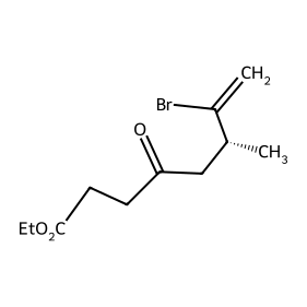 C=C(Br)[C@H](C)CC(=O)CCC(=O)OCC